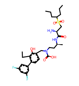 CCCC(CCC)S(=O)(=O)C[C@H](N)C(=O)N[C@@H](C)CCN(Cc1ccc(-c2cc(F)cc(F)c2)c(CC)c1O)C(=O)O